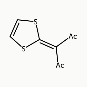 CC(=O)C(C(C)=O)=C1SC=CS1